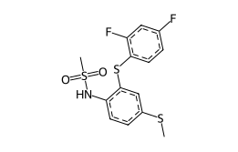 CSc1ccc(NS(C)(=O)=O)c(Sc2ccc(F)cc2F)c1